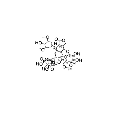 CC(O)(P(=O)(O)O)P(=O)(O)O.COc1cc([C@@H]2c3cc4c(cc3C(O[C@@H]3O[C@@H]5CO[C@@H](C)O[C@H]5[C@H](O)[C@H]3O)C3COC(=O)[C@@H]32)OCO4)cc(OC)c1O